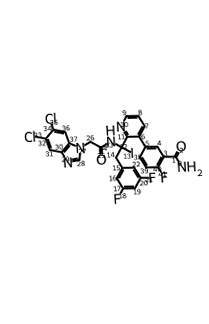 NC(=O)c1cc(-c2cccnc2C(I)(Cc2cc(F)cc(F)c2)NC(=O)Cn2cnc3cc(Cl)c(Cl)cc32)ccc1F